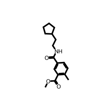 COC(=O)c1cc(C(=O)NCCC2CCCC2)ccc1C